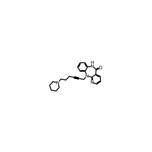 O=C1Nc2ccccc2N(CC#CCCCN2CCCCC2)c2ncccc21